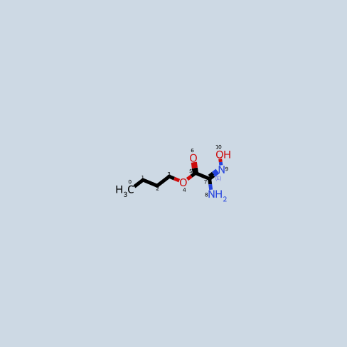 CCCCOC(=O)/C(N)=N\O